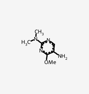 COc1nc(N(C)C)ncc1N